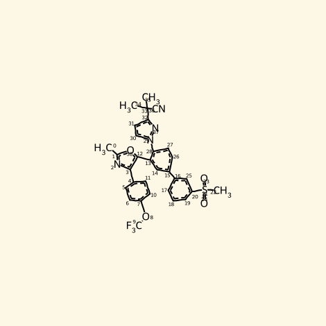 Cc1nc(-c2ccc(OC(F)(F)F)cc2)c(-c2cc(-c3cccc(S(C)(=O)=O)c3)ccc2-n2ccc(C(C)(C)C#N)n2)o1